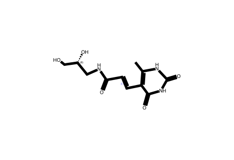 Cc1[nH]c(=O)[nH]c(=O)c1/C=C/C(=O)NC[C@@H](O)CO